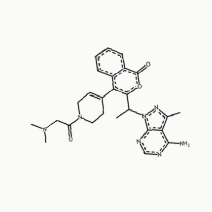 Cc1nn(C(C)c2oc(=O)c3ccccc3c2C2=CCN(C(=O)CN(C)C)CC2)c2ncnc(N)c12